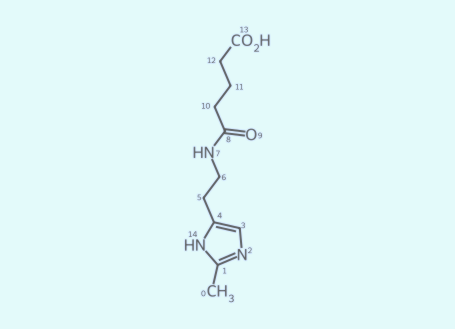 Cc1ncc(CCNC(=O)CCCC(=O)O)[nH]1